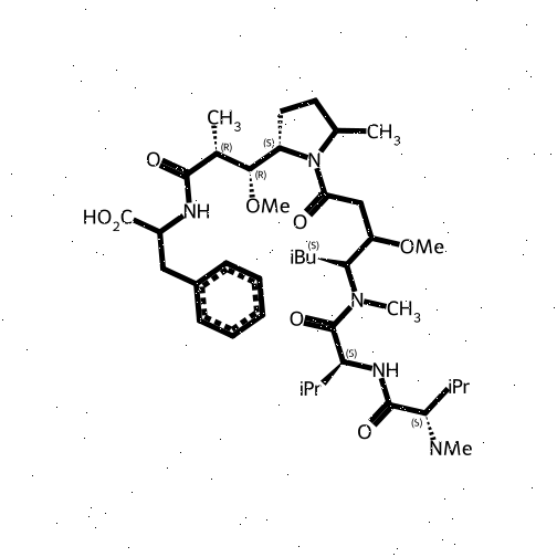 CC[C@H](C)C(C(CC(=O)N1C(C)CC[C@H]1[C@H](OC)[C@@H](C)C(=O)NC(Cc1ccccc1)C(=O)O)OC)N(C)C(=O)[C@@H](NC(=O)[C@@H](NC)C(C)C)C(C)C